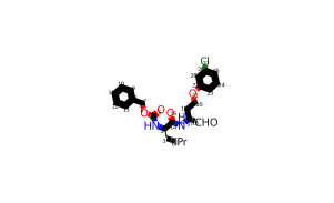 CC(C)C[C@H](NC(=O)OCc1ccccc1)C(=O)NC(C=O)CCOc1cccc(Cl)c1